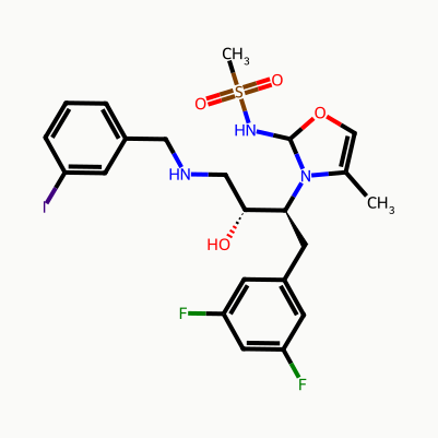 CC1=COC(NS(C)(=O)=O)N1[C@@H](Cc1cc(F)cc(F)c1)[C@H](O)CNCc1cccc(I)c1